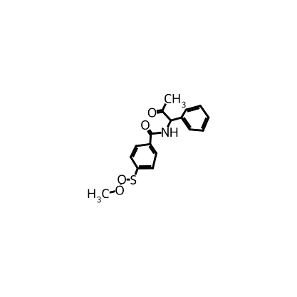 COOSc1ccc(C(=O)NC(C(C)=O)c2ccccc2)cc1